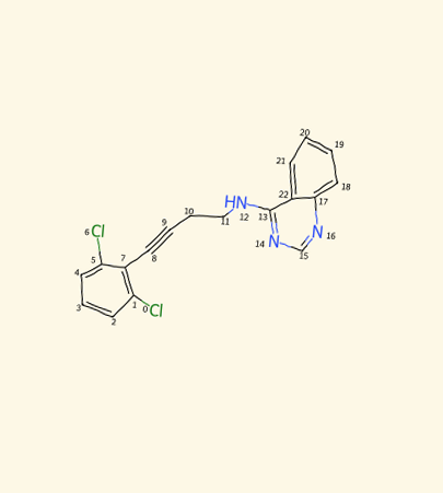 Clc1cccc(Cl)c1C#CCCNc1ncnc2ccccc12